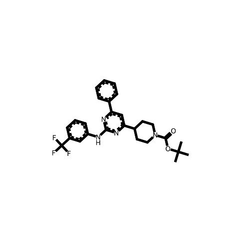 CC(C)(C)OC(=O)N1CCC(c2cc(-c3ccccc3)nc(Nc3cccc(C(F)(F)F)c3)n2)CC1